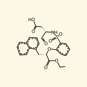 CCOC(=O)[C@H](Cc1cccc2ccccc12)Oc1ccccc1S(=O)(=O)N[C@H](C=O)CC(=O)O